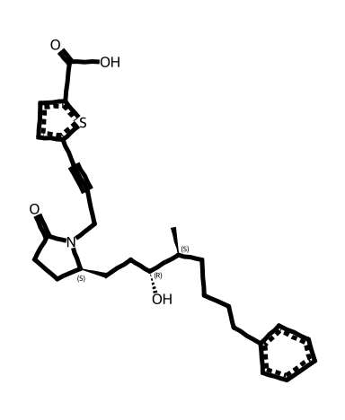 C[C@@H](CCCCc1ccccc1)[C@H](O)CC[C@H]1CCC(=O)N1CC#Cc1ccc(C(=O)O)s1